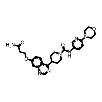 NC(=O)CCOc1ccc2c(C3CCN(C(=O)Nc4ccc(N5CCOCC5)nc4)CC3)ncnc2c1